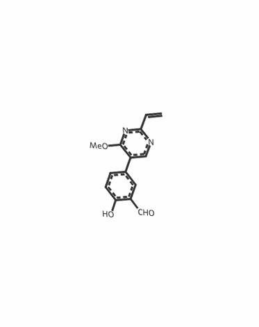 C=Cc1ncc(-c2ccc(O)c(C=O)c2)c(OC)n1